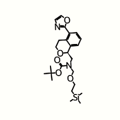 CC(C)(C)OC(=O)N(COCC[Si](C)(C)C)C[C@H]1OCCc2c(-c3ncco3)cccc21